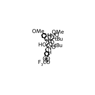 COC(=O)N[C@H](C(=O)NN(Cc1ccc(OC)cc1)C[C@H](O)[C@H](Cc1ccc(OS(=O)(=O)C(F)(F)F)cc1)NC(=O)OC(C)(C)C)C(C)(C)C